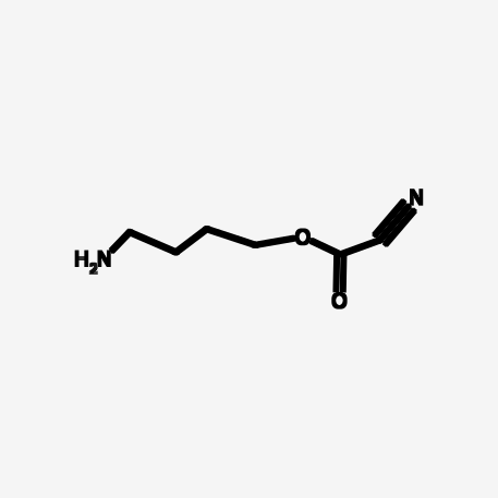 N#CC(=O)OCCCCN